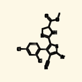 COC(=O)C1CN=C(c2sc(Br)c(C#N)c2-c2ccc(Cl)cc2Cl)N1